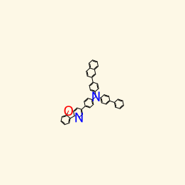 c1ccc(-c2ccc(N(c3ccc(-c4ccc5ccccc5c4)cc3)c3ccc(-c4cnc5c(c4)oc4ccccc45)cc3)cc2)cc1